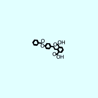 O=C(Oc1ccc(CCc2c(C(=O)O)cccc2C(=O)O)cc1)c1ccccc1